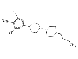 CCCC[C@H]1CC[C@H](C2CCC(c3cc(Cl)c(C#N)c(Cl)c3)CC2)CC1